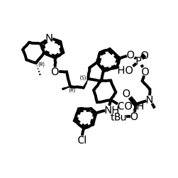 C[C@@H](COc1ccnc2c1[C@H](C)CCC2)C[C@H]1Cc2ccc(OP(=O)(O)OCCN(C)C(=O)OC(C)(C)C)cc2C12CCC(Nc1cccc(Cl)c1)(C(=O)O)CC2